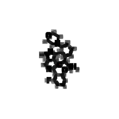 COc1cccc(F)c1-c1cc2c(-c3c(C(N)=O)cccc3N3CCOCC3)n[nH]c2cn1